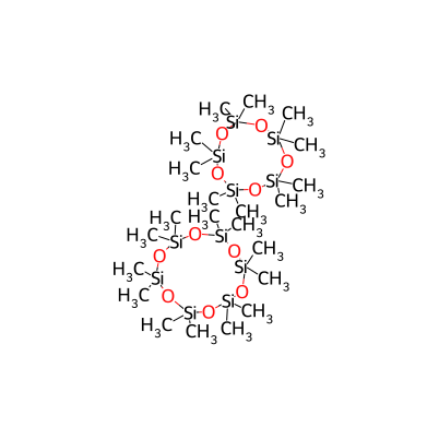 C[Si]1(C)O[Si](C)(C)O[Si](C)(C)O[Si](C)(C)O[Si](C)(C)O1.C[Si]1(C)O[Si](C)(C)O[Si](C)(C)O[Si](C)(C)O[Si](C)(C)O[Si](C)(C)O1